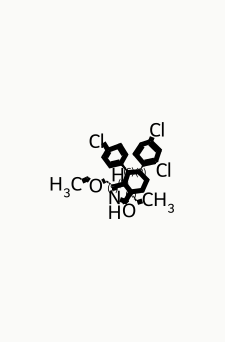 CCOC[C@H]1NC(=O)[C@]2(CC)CC[C@@H](c3ccc(Cl)cc3Cl)[C@H](c3ccc(Cl)cc3)[C@H]12